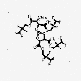 COC(C(=O)OCC(F)(F)C(F)F)C(OB1OC(C(=O)OCC(F)(F)C(F)F)C(C(=O)OCC(F)(F)C(F)F)O1)C(=O)OCC(F)(F)C(F)F